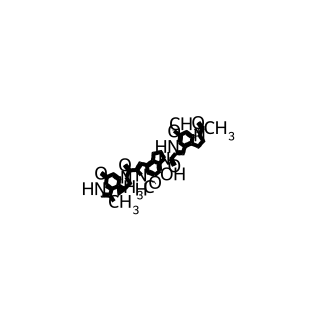 COc1cc2c(c3cc(C(=O)N4CCc5c4c(O)c(OC)c4[nH]c(C(=O)N6CC7CC78C6=CC(=O)c6[nH]cc(C)c68)cc54)[nH]c13)CCN2C(C)=O